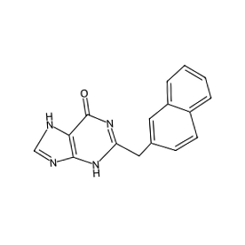 O=c1nc(Cc2ccc3ccccc3c2)[nH]c2nc[nH]c12